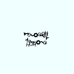 CC(C)NCC(O)COc1ccc(CCOCC2CC2)cc1.COCCc1ccc(OCC(O)CNC(C)C)cc1